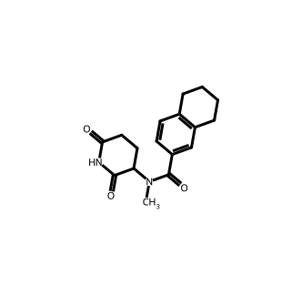 CN(C(=O)c1ccc2c(c1)CCCC2)C1CCC(=O)NC1=O